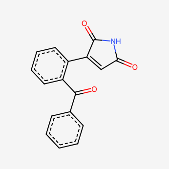 O=C1C=C(c2ccccc2C(=O)c2ccccc2)C(=O)N1